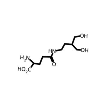 NC(CCC(=O)NCCC(CO)CO)C(=O)O